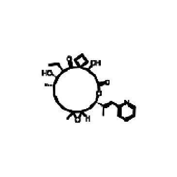 CC[C@H]1C(=O)C2(CCC2)[C@@H](O)CC(=O)O[C@H](C(C)=Cc2ccccn2)C[C@@H]2O[C@]2(C)CCC[C@H](C)[C@@H]1O